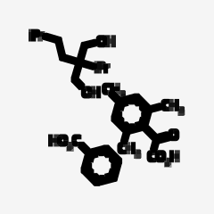 CC(C)CCC(CO)(CO)C(C)C.Cc1cc(C)c(C(=O)C(=O)O)c(C)c1.O=C(O)c1ccccc1